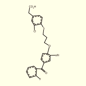 CCCc1cc(C(=O)c2ccccc2F)ccc1OCCCSc1ccc(CC(=O)O)cc1Cl